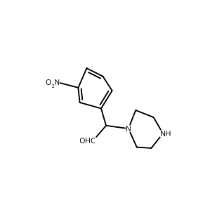 O=CC(c1cccc([N+](=O)[O-])c1)N1CCNCC1